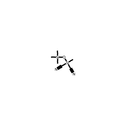 C[Si](C)(C)O[Si](C)(C#N)C#N